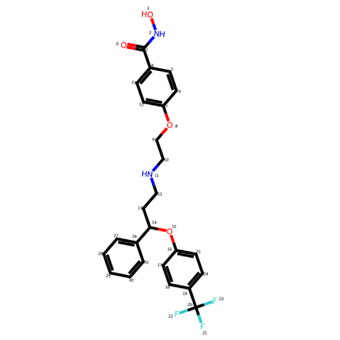 O=C(NO)c1ccc(OCCNCCC(Oc2ccc(C(F)(F)F)cc2)c2ccccc2)cc1